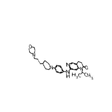 CC(C)N1C(=O)CCc2cnc(Nc3ccc(N4CCC(CCCN5CCOCC5)CC4)cc3)cc21